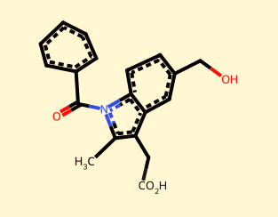 Cc1c(CC(=O)O)c2cc(CO)ccc2n1C(=O)c1ccccc1